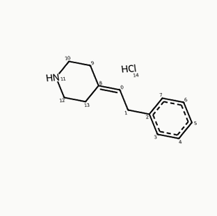 C(Cc1ccccc1)=C1CCNCC1.Cl